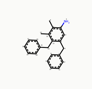 Cc1c(N)cc(Cc2ccccc2)c(Cc2ccccc2)c1C